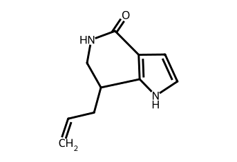 C=CCC1CNC(=O)c2cc[nH]c21